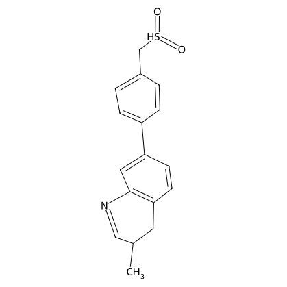 CC1C=Nc2cc(-c3ccc(C[SH](=O)=O)cc3)ccc2C1